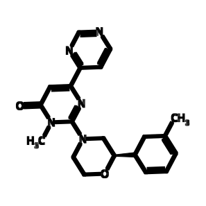 CC1=CC=CC([C@@H]2CN(c3nc(-c4ccncn4)cc(=O)n3C)CCO2)C1